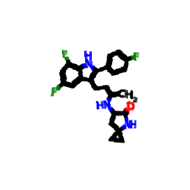 C=C(CCc1c(-c2ccc(F)cc2)[nH]c2c(F)cc(F)cc12)NC1CC2(CC2)NC1=O